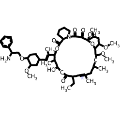 CCC1/C=C(\C)CC(C)CC(OC)C2OC(O)(C(=O)C(=O)N3CCCCC3C(=O)OC(C(C)=CC3CCC(OCC(N)c4ccccc4)C(OC)C3)C(C)C(O)CC1=O)C(C)CC2OC